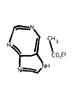 CCOC(C)=O.c1ncc2[nH]cnc2n1